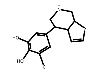 Oc1cc(C2CNCC3SC=CC32)cc(Cl)c1O